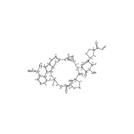 C=CC(=O)N1CC[C@H](C(=O)N(C)C(C(=O)N[C@H]2Cc3csc(n3)-c3cc4c(c(-c5cccnc5[C@H](C)OC)n(CC)c4cn3)CC(C)(C)COC(=O)[C@@H]3CCCN(N3)C2=O)C(C)C)C1